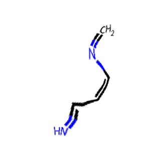 C=N/C=C\C=N